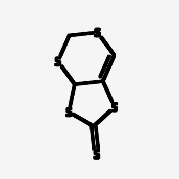 S=C1SC2=CSCSC2S1